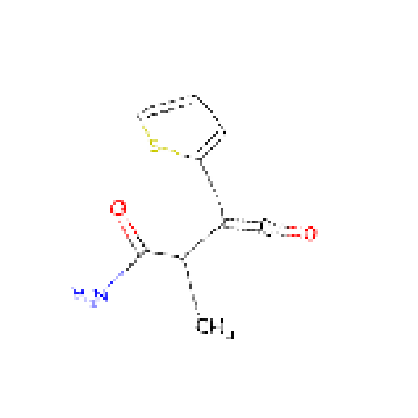 CC(C(N)=O)C(=C=O)c1cccs1